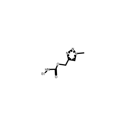 CCNC(=O)OCc1cn(C)nn1